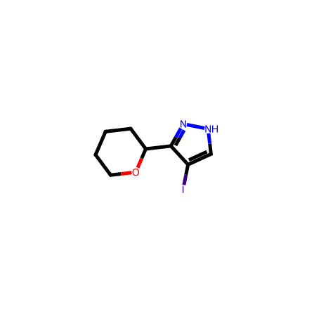 Ic1c[nH]nc1C1CCCCO1